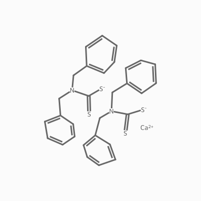 S=C([S-])N(Cc1ccccc1)Cc1ccccc1.S=C([S-])N(Cc1ccccc1)Cc1ccccc1.[Ca+2]